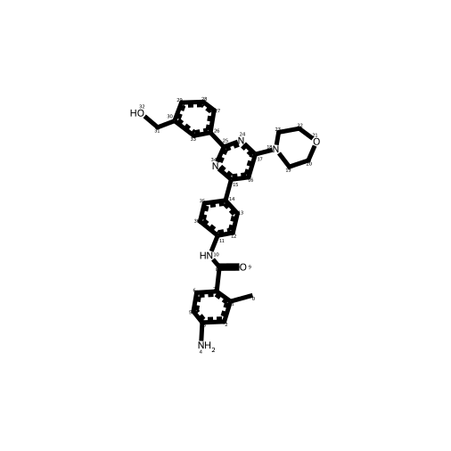 Cc1cc(N)ccc1C(=O)Nc1ccc(-c2cc(N3CCOCC3)nc(-c3cccc(CO)c3)n2)cc1